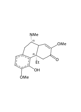 CC[C@@]12CC(=O)C(OC)=CC1[C@@H](NC)Cc1ccc(OC)c(O)c12